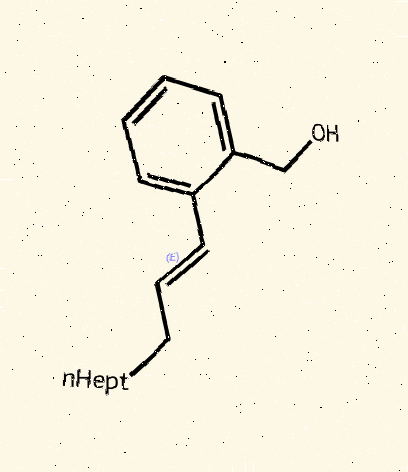 CCCCCCCC/C=C/c1ccccc1CO